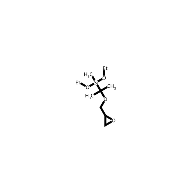 CCO[Si](C)(OCC)C(C)(C)OCC1CO1